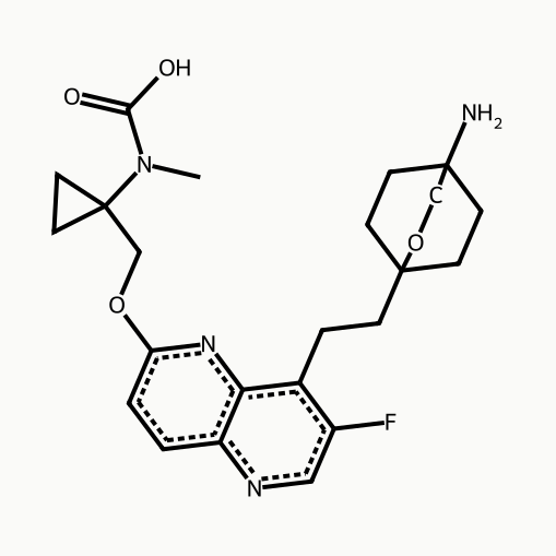 CN(C(=O)O)C1(COc2ccc3ncc(F)c(CCC45CCC(N)(CC4)CO5)c3n2)CC1